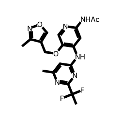 CC(=O)Nc1cc(Nc2cc(C)nc(C(C)(F)F)n2)c(OCc2conc2C)cn1